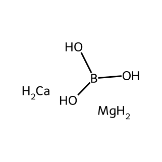 OB(O)O.[CaH2].[MgH2]